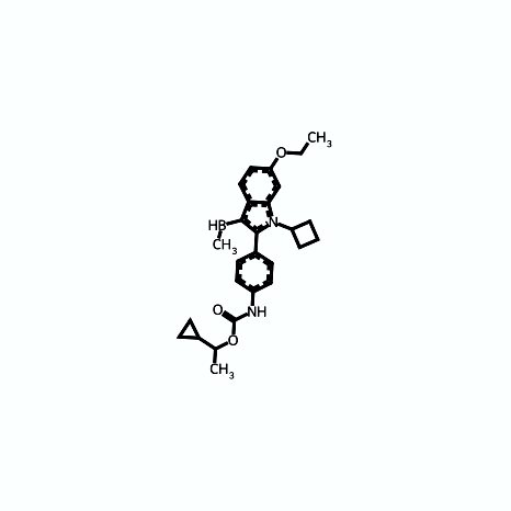 CBc1c(-c2ccc(NC(=O)OC(C)C3CC3)cc2)n(C2CCC2)c2cc(OCC)ccc12